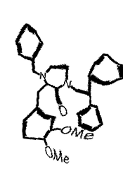 COc1ccc(CC2C(=O)N(C(c3ccccc3)c3ccccc3)CCN2Cc2ccccc2)cc1OC